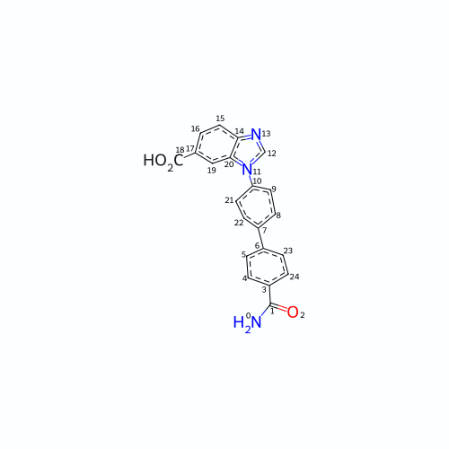 NC(=O)c1ccc(-c2ccc(-n3cnc4ccc(C(=O)O)cc43)cc2)cc1